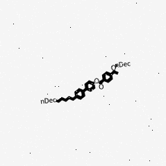 CCCCCCCCCCCCCCCc1ccc(-c2ccc(OC(=O)c3ccc(C(C)OCCCCCCCCCC)cc3)cc2)cc1